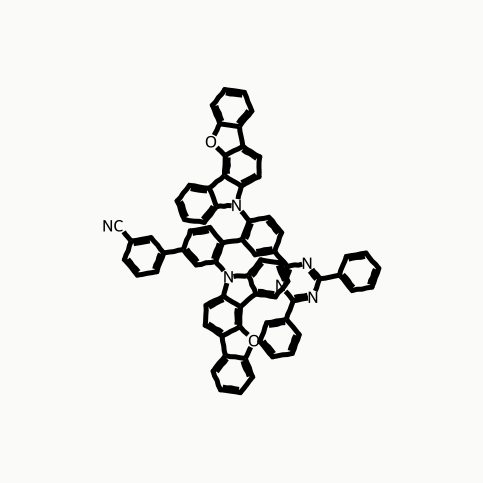 N#Cc1cccc(-c2ccc(-c3cc(-c4nc(-c5ccccc5)nc(-c5ccccc5)n4)ccc3-n3c4ccccc4c4c5oc6ccccc6c5ccc43)c(-n3c4ccccc4c4c5oc6ccccc6c5ccc43)c2)c1